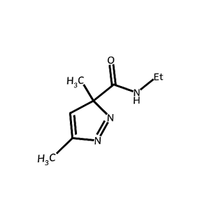 [CH2]CNC(=O)C1(C)C=C(C)N=N1